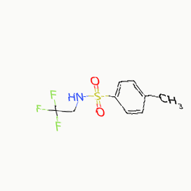 Cc1ccc(S(=O)(=O)NCC(F)(F)F)cc1